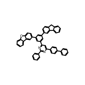 c1ccc(-c2ccc(-c3cc(-c4cc(-c5ccc6c(c5)-c5ccccc5C6)cc(-c5ccc6oc7ccccc7c6c5)c4)nc(-c4ccccc4)n3)cc2)cc1